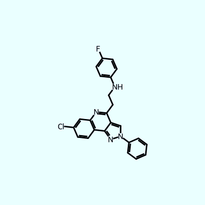 Fc1ccc(NCCc2nc3cc(Cl)ccc3c3nn(-c4ccccc4)cc23)cc1